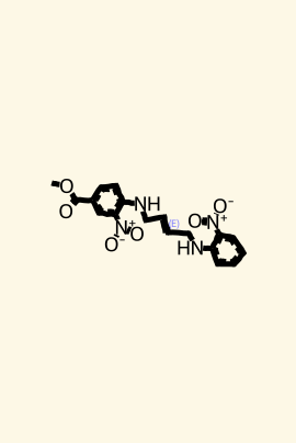 COC(=O)c1ccc(NC/C=C/CNc2ccccc2[N+](=O)[O-])c([N+](=O)[O-])c1